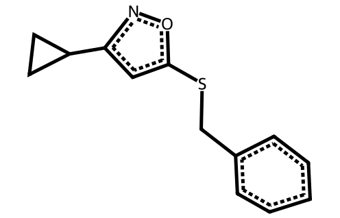 c1ccc(CSc2cc(C3CC3)no2)cc1